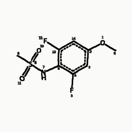 COc1cc(F)c(NS(C)(=O)=O)c(F)c1